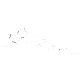 COc1ccc2nccc(C(F)CC[C@@H]3CCN(CCCSC(C)(C)C)C[C@@H]3C(=O)O)c2c1